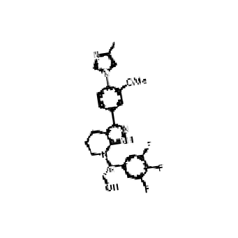 COc1cc(-c2n[nH]c3c2CCCN3[C@@H](CO)c2cc(F)c(F)c(F)c2)ccc1-n1cnc(C)c1